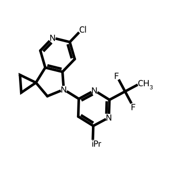 CC(C)c1cc(N2CC3(CC3)c3cnc(Cl)cc32)nc(C(C)(F)F)n1